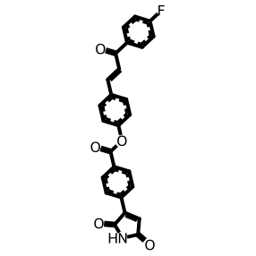 O=C1C=C(c2ccc(C(=O)Oc3ccc(C=CC(=O)c4ccc(F)cc4)cc3)cc2)C(=O)N1